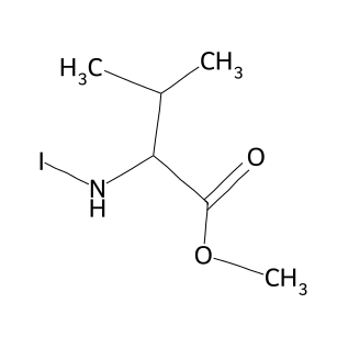 COC(=O)C(NI)C(C)C